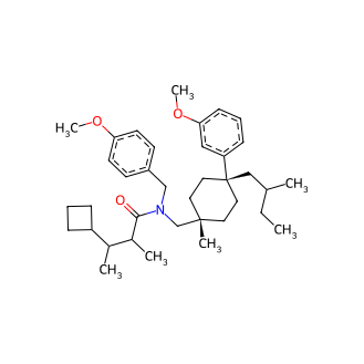 CCC(C)C[C@]1(c2cccc(OC)c2)CC[C@@](C)(CN(Cc2ccc(OC)cc2)C(=O)C(C)C(C)C2CCC2)CC1